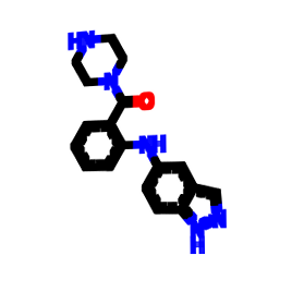 O=C(c1ccccc1Nc1ccc2[nH]ncc2c1)N1CCNCC1